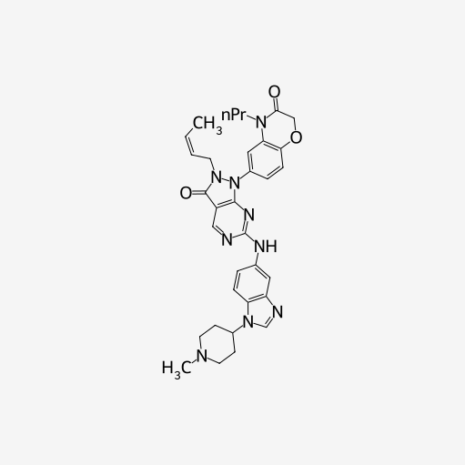 C/C=C\Cn1c(=O)c2cnc(Nc3ccc4c(c3)ncn4C3CCN(C)CC3)nc2n1-c1ccc2c(c1)N(CCC)C(=O)CO2